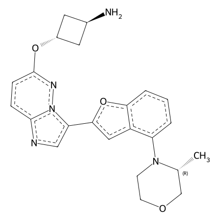 C[C@@H]1COCCN1c1cccc2oc(-c3cnc4ccc(O[C@H]5C[C@H](N)C5)nn34)cc12